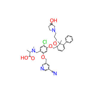 CC(C(=O)O)N(C)Cc1cc(Cl)c(OCC2(OCCCN3CC[C@@H](O)C3)C=CC=C(c3ccccc3)C2(C)C)cc1OCc1cncc(C#N)c1